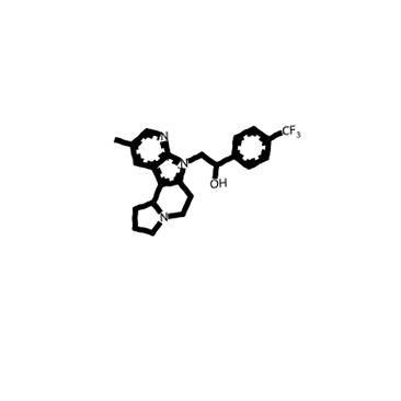 Cc1cnc2c(c1)c1c(n2CC(O)c2ccc(C(F)(F)F)cc2)CCN2CCCC12